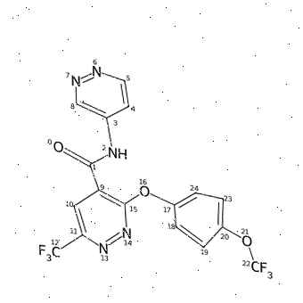 O=C(Nc1ccnnc1)c1cc(C(F)(F)F)nnc1Oc1ccc(OC(F)(F)F)cc1